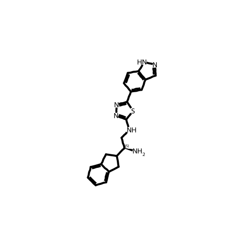 N[C@H](CNc1nnc(-c2ccc3[nH]ncc3c2)s1)C1Cc2ccccc2C1